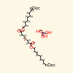 CCCCCCCCCCCCCCCCCCOC(=O)CCSCCC(=O)OCCCCCCCCCCCCCCCCCC.OP(O)O